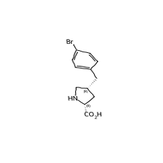 O=C(O)[C@H]1C[C@@H](Cc2ccc(Br)cc2)CN1